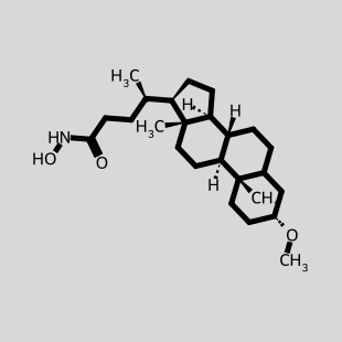 CO[C@@H]1CC[C@@]2(C)C(CC[C@H]3[C@@H]4CC[C@H]([C@H](C)CCC(=O)NO)[C@@]4(C)CC[C@@H]32)C1